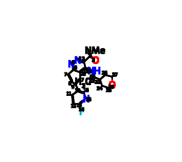 CNC(=O)c1nnc2ccc(-c3ccc(F)nc3)cc2c1N[C@@H](C)C1CCOCC1